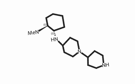 CN[C@H]1CCCC[C@@H]1NC1CCN(C2CCNCC2)CC1